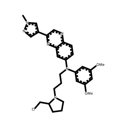 COc1cc(OC)cc(N(CCCN2CCCC2CCl)c2ccc3ncc(-c4cnn(C)c4)nc3c2)c1